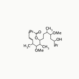 COC(CC(O)C(C)C)C(C)CCC(OC(=O)C(C)C)C(C)C(OC)C(C)/C=C/I